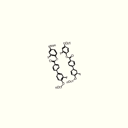 CCCCCCCCCc1ccc(OC(=O)c2ccc(-c3ccc(OCCCCCCCC)c(F)c3)cc2)c(F)c1.CCCCCCCCOc1ccc(-c2ccc(C(=O)Oc3ccc(CCCCCCCC)cc3F)cc2)cc1F